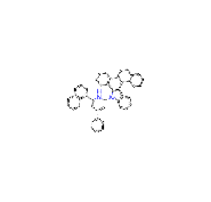 C1=C(c2ccccc2)C=C(c2cccc3ccccc23)NC1n1c2ccccc2c2c3c4ccccc4ccc3c3ccccc3c21